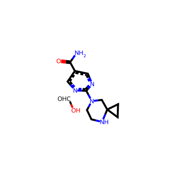 NC(=O)c1cnc(N2CCNC3(CC3)C2)nc1.O=CO